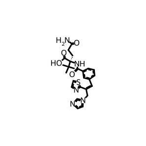 CC(C)(C)[C@](CCC(N)=O)(NC(=O)c1cccc(C=C(Cn2ccnc2)c2nccs2)c1)C(=O)O